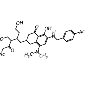 CC(=O)CC(=O)C(CO)C(CCO)CC1CC(=O)c2c(O)c(NCc3ccc(C(C)=O)cc3)cc(N(C)C)c2C1